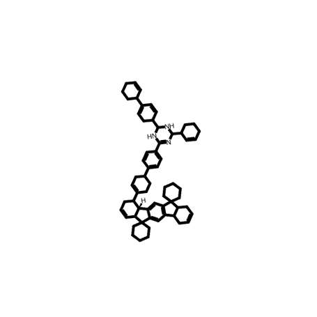 C1=CC(C2=CCC(C3NC(c4ccc(C5CC=C(C6CC=CC7[C@H]6c6cc8c(cc6C76CCCCC6)C6CC=CCC6C86CCCCC6)CC5)cc4)=NC(C4C=CCCC4)N3)C=C2)CCC1